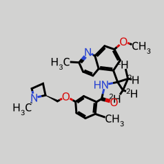 [2H]C1([2H])C([2H])([2H])C1(NC(=O)c1cc(OC[C@@H]2CCN2C)ccc1C)c1cc(OC)cc2nc(C)ccc12